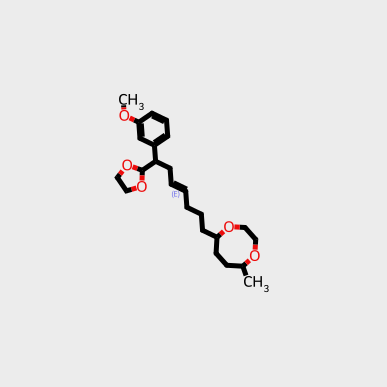 COc1cccc(C(C/C=C/CCCC2CCC(C)OCCO2)C2OCCO2)c1